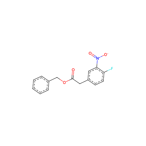 O=C(Cc1ccc(F)c([N+](=O)[O-])c1)OCc1ccccc1